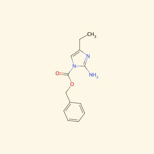 CCc1cn(C(=O)OCc2ccccc2)c(N)n1